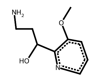 COc1cccnc1C(O)CCN